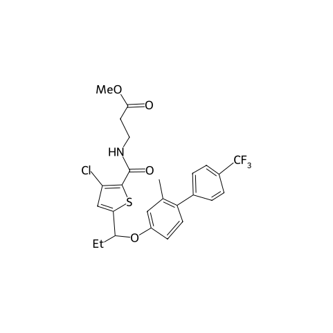 CCC(Oc1ccc(-c2ccc(C(F)(F)F)cc2)c(C)c1)c1cc(Cl)c(C(=O)NCCC(=O)OC)s1